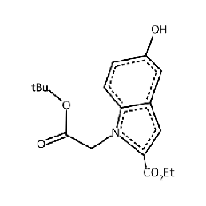 CCOC(=O)c1cc2cc(O)ccc2n1CC(=O)OC(C)(C)C